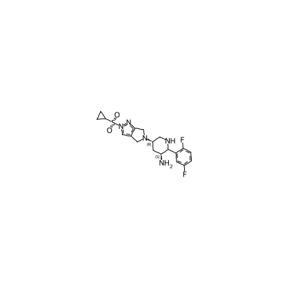 N[C@H]1C[C@@H](N2Cc3cn(S(=O)(=O)C4CC4)nc3C2)CNC1c1cc(F)ccc1F